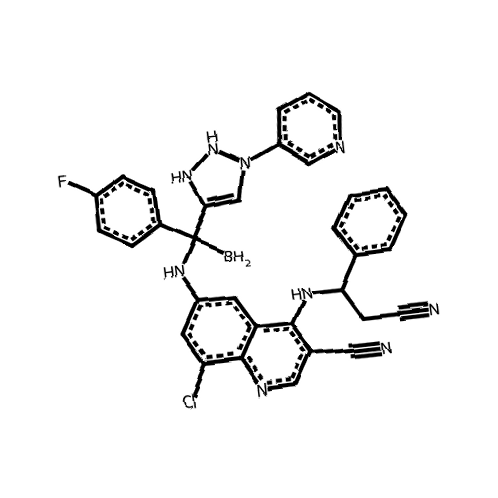 BC(Nc1cc(Cl)c2ncc(C#N)c(NC(CC#N)c3ccccc3)c2c1)(C1=CN(c2cccnc2)NN1)c1ccc(F)cc1